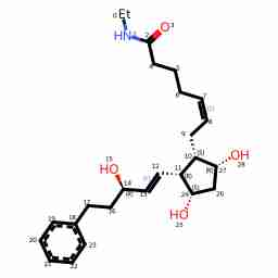 CCNC(=O)CCC/C=C\C[C@H]1[C@@H](/C=C/[C@H](O)CCc2ccccc2)[C@@H](O)C[C@H]1O